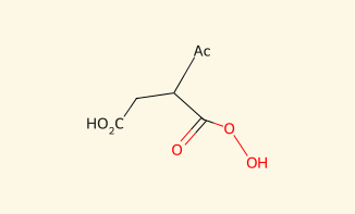 CC(=O)C(CC(=O)O)C(=O)OO